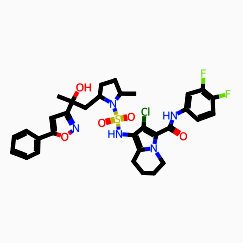 CC1CCC(CC(C)(O)c2cc(-c3ccccc3)on2)N1S(=O)(=O)Nc1c(Cl)c(C(=O)Nc2ccc(F)c(F)c2)n2c1CCCC2